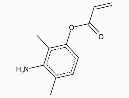 C=CC(=O)Oc1ccc(C)c(N)c1C